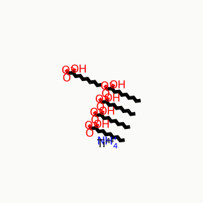 CCCCCCCCC(O)C(=O)[O-].CCCCCCCCC(O)C(=O)[O-].CCCCCCCCC(O)C(=O)[O-].CCCCCCCCC(O)C(=O)[O-].CCCCCCCCC(O)C(=O)[O-].[NH4+].[Ti+4]